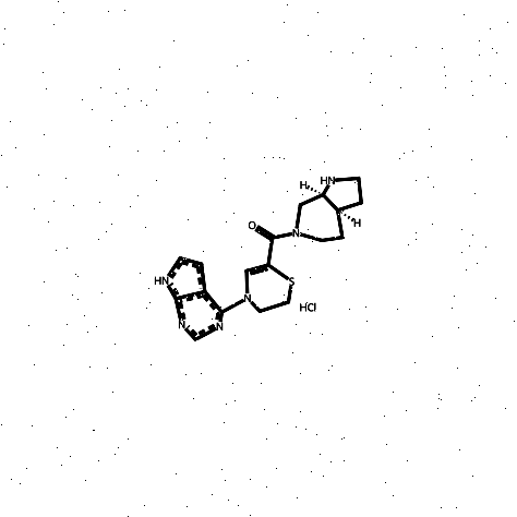 Cl.O=C(C1=CN(c2ncnc3[nH]ccc23)CCS1)N1CC[C@@H]2CCN[C@@H]2C1